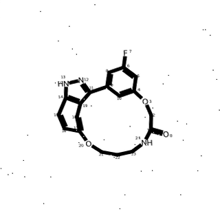 O=C1COc2cc(F)cc(c2)-c2n[nH]c3ccc(cc23)OCCCN1